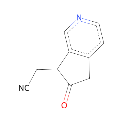 N#CCC1C(=O)Cc2ccncc21